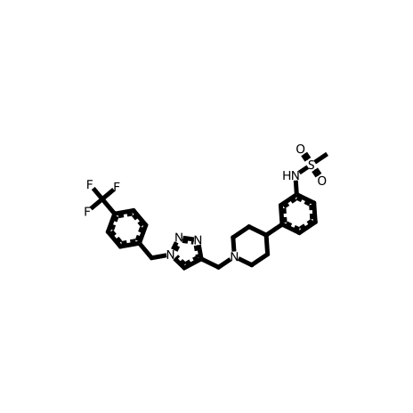 CS(=O)(=O)Nc1cccc(C2CCN(Cc3cn(Cc4ccc(C(F)(F)F)cc4)nn3)CC2)c1